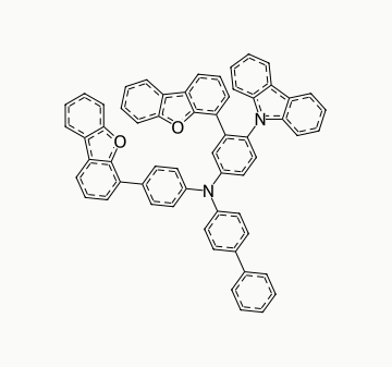 c1ccc(-c2ccc(N(c3ccc(-c4cccc5c4oc4ccccc45)cc3)c3ccc(-n4c5ccccc5c5ccccc54)c(-c4cccc5c4oc4ccccc45)c3)cc2)cc1